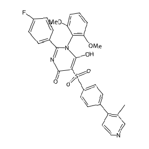 COc1cccc(OC)c1-n1c(-c2ccc(F)cc2)nc(=O)c(S(=O)(=O)c2ccc(-c3ccncc3C)cc2)c1O